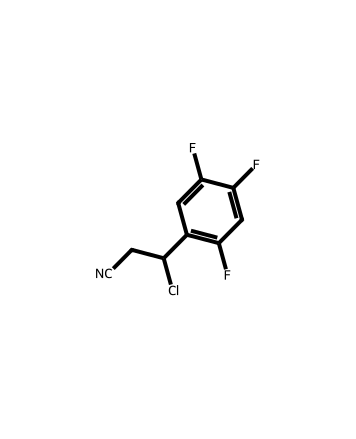 N#CCC(Cl)c1cc(F)c(F)cc1F